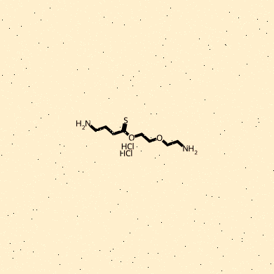 Cl.Cl.NCCCC(=S)OCCOCCN